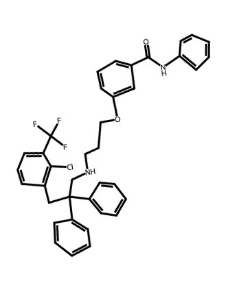 O=C(Nc1ccccc1)c1cccc(OCCCNCC(Cc2cccc(C(F)(F)F)c2Cl)(c2ccccc2)c2ccccc2)c1